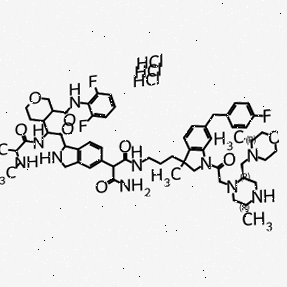 CNC(C)C(=O)NC(C(=O)C1NCc2cc(C(C(N)=O)C(=O)NCCCC3(C)CN(C(=O)CN4C[C@@H](C)NC[C@@H]4CN4CCOC[C@H]4C)c4cc(Cc5ccc(F)cc5)ccc43)ccc21)C1CCOCC1C(=O)Nc1c(F)cccc1F.Cl.Cl.Cl